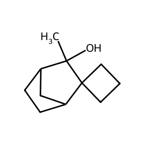 CC1(O)C2CCC(C2)C12CCC2